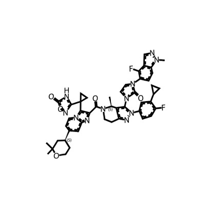 C[C@H]1c2c(nn(-c3ccc(F)c(C4CC4)c3)c2-n2ccn(-c3ccc4c(cnn4C)c3F)c2=O)CCN1C(=O)c1nc2cc([C@H]3CCOC(C)(C)C3)ccn2c1C1(c2noc(=O)[nH]2)CC1